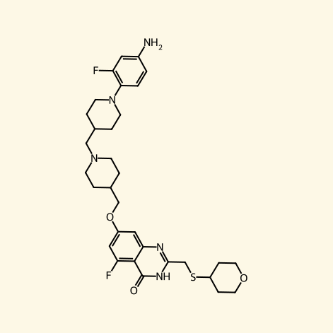 Nc1ccc(N2CCC(CN3CCC(COc4cc(F)c5c(=O)[nH]c(CSC6CCOCC6)nc5c4)CC3)CC2)c(F)c1